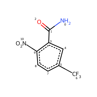 NC(=O)c1cc(C(F)(F)F)ccc1[N+](=O)[O-]